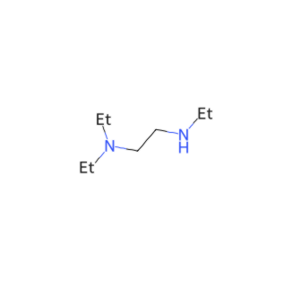 CCNCCN(CC)CC